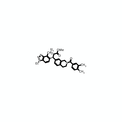 CCn1nnc2c(C)c([C@H](c3ccc4c(c3)CN(C(=O)c3ccc(C)c(C)c3)CC4)[C@H](C)C(=O)OC)ccc21